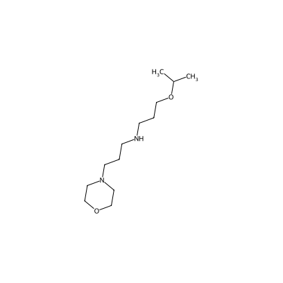 CC(C)OCCCNCCCN1CCOCC1